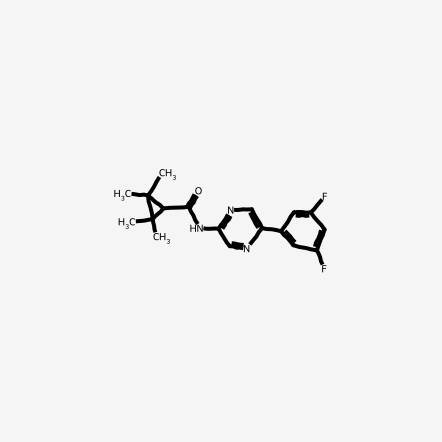 CC1(C)C(C(=O)Nc2cnc(-c3cc(F)cc(F)c3)cn2)C1(C)C